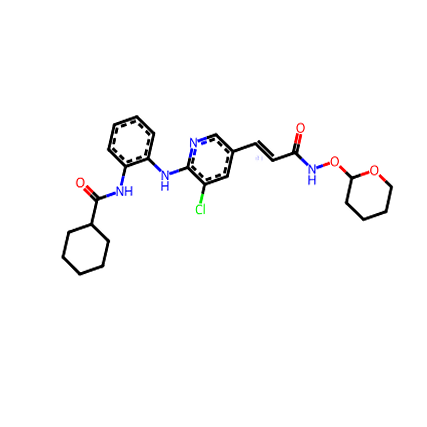 O=C(/C=C/c1cnc(Nc2ccccc2NC(=O)C2CCCCC2)c(Cl)c1)NOC1CCCCO1